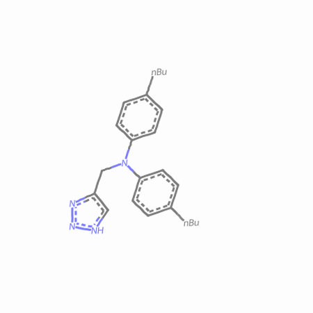 CCCCc1ccc(N(Cc2c[nH]nn2)c2ccc(CCCC)cc2)cc1